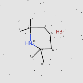 Br.CC1(C)CCCC(C)(C)N1